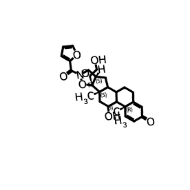 C[C@]12C=CC(=O)C=C1CCC1C2[C@@H](O)C[C@@]2(C)C1C[C@H]1CN(C(=O)c3ccco3)O[C@]12C(=O)CO